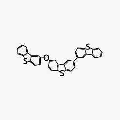 c1ccc2c(c1)sc1ccc(Oc3ccc4sc5ccc(-c6ccc7sc8ccccc8c7c6)cc5c4c3)cc12